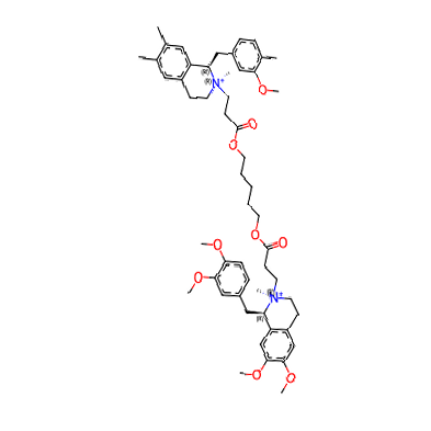 COc1cc(C[C@@H]2c3cc(C)c(C)cc3CC[N@+]2(C)CCC(=O)OCCCCCOC(=O)CC[N@@+]2(C)CCc3cc(OC)c(OC)cc3[C@H]2Cc2ccc(OC)c(OC)c2)ccc1C